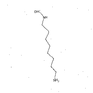 NCCCCCCCCNC=O